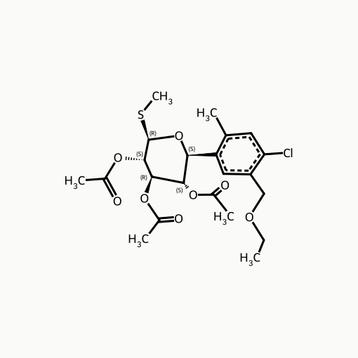 CCOCc1cc([C@@H]2O[C@H](SC)[C@@H](OC(C)=O)[C@H](OC(C)=O)[C@H]2OC(C)=O)c(C)cc1Cl